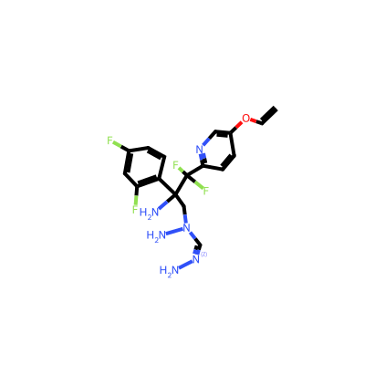 C=COc1ccc(C(F)(F)C(N)(CN(N)/C=N\N)c2ccc(F)cc2F)nc1